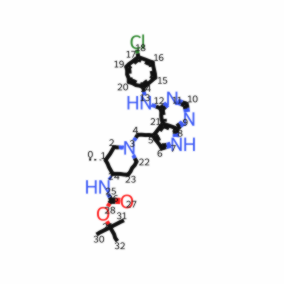 C[C@@H]1CN(Cc2c[nH]c3ncnc(Nc4ccc(Cl)cc4)c23)CC[C@H]1NC(=O)OC(C)(C)C